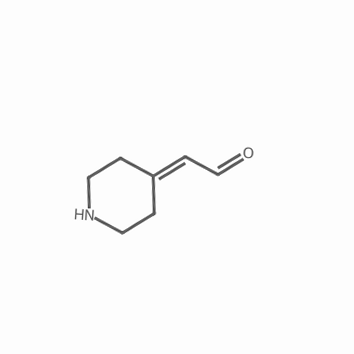 O=CC=C1CCNCC1